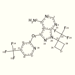 Nc1ncnc2c1c(Oc1cc(C(F)(F)F)ccn1)nn2C1(C(F)(F)F)CCC1